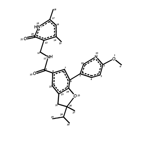 COc1ccc(-c2cc(C(=O)NCc3c(C)cc(C)[nH]c3=O)cc3c2OC(C)(C(C)C)C3)cn1